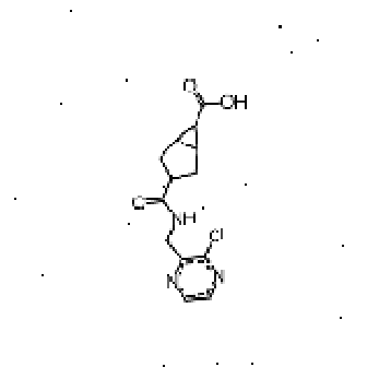 O=C(NCc1nccnc1Cl)C1CC2C(C1)C2C(=O)O